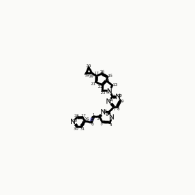 C(=C\c1ccnc(-c2ccnc(N3Cc4ccc(C5CC5)cc4C3)n2)n1)/c1ccncc1